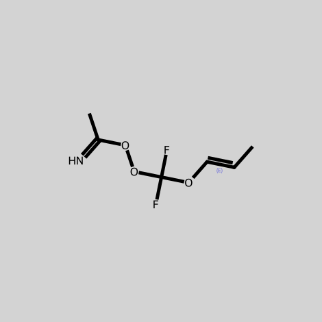 C/C=C/OC(F)(F)OOC(C)=N